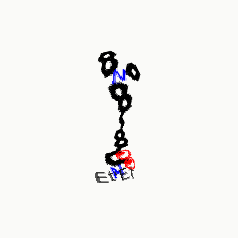 CCN(CC)c1ccc(-c2ccc3cc(/C=C/c4ccc5cc(N(c6ccccc6)c6ccc7ccccc7c6)ccc5c4)ccc3c2)oc1=O